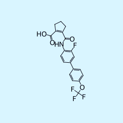 O=C(O)C1=C(C(=O)Nc2ccc(-c3ccc(OC(F)(F)F)cc3)cc2F)CCC1